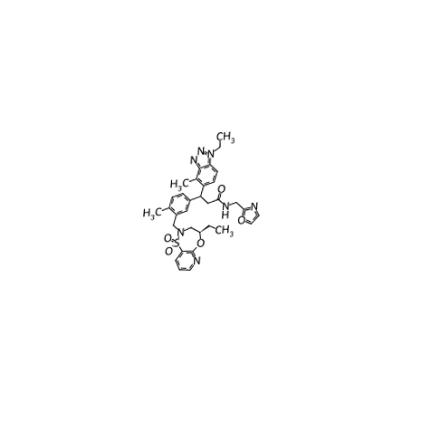 CC[C@@H]1CN(Cc2cc(C(CC(=O)NCc3ncco3)c3ccc4c(nnn4CC)c3C)ccc2C)S(=O)(=O)c2cccnc2O1